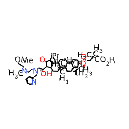 COCCN(C)CCN(Cc1ccccn1)C[C@H](O)C1C(=O)C(C(C)C)=C2C1CC[C@]1(C)[C@@H]2CC[C@@H]2[C@@]3(C)CC[C@H](OC(=O)CC(C)(C)C(=O)O)C(C)(C)[C@@H]3CC[C@]21C